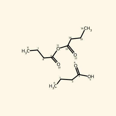 CCCC(=O)O.CCCC(=O)OC(=O)CCC